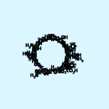 CCCC[C@H]1C(=O)N(C)[C@@H](CCCC)C(=O)N[C@@H](CC(C)C)C(=O)N[C@H](C(=O)NCC(N)=O)CSCC(=O)N[C@@H](Cc2ccc(O)cc2)C(=O)N(C)[C@@H](C)C(=O)N[C@@H](CC(N)=O)C(=O)N2CCCC2C(=O)N[C@@H](CN)C(=O)N[C@@H](CC(C)C)C(=O)N2C[C@H](O)C[C@H]2C(=O)N[C@@H](Cc2c[nH]c3ccccc23)C(=O)N[C@@H](CCCNC(=N)N)C(=O)NC(Cc2cn(CC(=O)O)c3ccccc23)C(=O)N1C